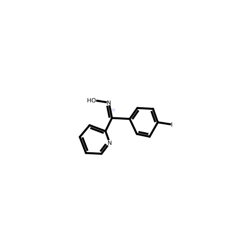 O/N=C(/c1ccc(I)cc1)c1ccccn1